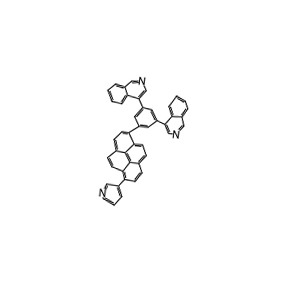 c1cncc(-c2ccc3ccc4c(-c5cc(-c6cncc7ccccc67)cc(-c6cncc7ccccc67)c5)ccc5ccc2c3c54)c1